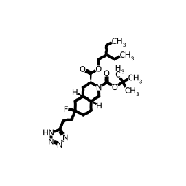 CCC(CC)COC(=O)[C@@H]1C[C@H]2CC(F)(CCc3nnn[nH]3)CC[C@H]2CN1C(=O)OC(C)(C)C